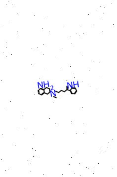 CCN(CCCCc1c[nH]c2ccccc12)C1CCc2c(N)cccc2C1